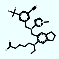 CCN(CCCCC(=O)O)c1cc2c(cc1CN(Cc1cc(C#N)cc(C(F)(F)F)c1)c1ccn(C)n1)CCC2